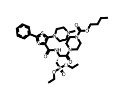 CCCCOC(=O)N1CCN(C(=O)[C@H](CP(=O)(OCC)OCC)NC(=O)c2nc(-c3ccccc3)sc2N2CCN(C)CC2)CC1